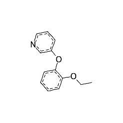 CCOc1ccccc1Oc1cccnc1